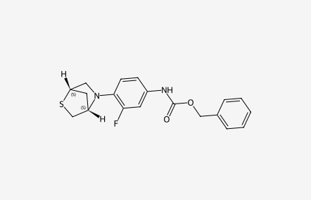 O=C(Nc1ccc(N2C[C@@H]3C[C@H]2CS3)c(F)c1)OCc1ccccc1